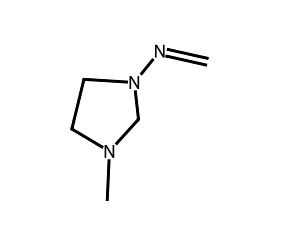 C=NN1CCN(C)C1